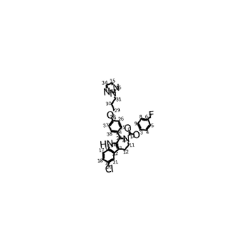 O=C(Oc1ccc(F)cc1)N1CCc2c([nH]c3ccc(Cl)cc23)C1c1ccc(OCCCn2nccn2)cc1